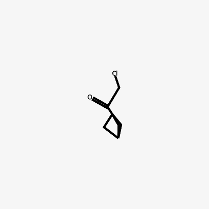 O=C(CCl)C12CC(C1)C2